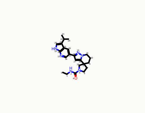 CCNC(=O)N1CCC2(CCCn3nc(-c4cnc5[nH]cc(C(C)C)c5c4)cc32)C1